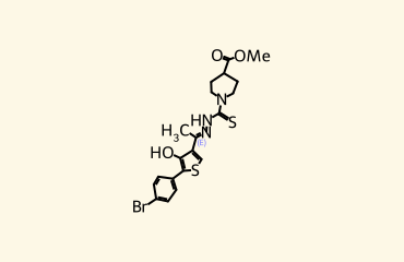 COC(=O)C1CCN(C(=S)N/N=C(\C)c2csc(-c3ccc(Br)cc3)c2O)CC1